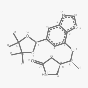 C[C@@H](Oc1cc(B2OC(C)(C)C(C)(C)O2)cc2ncsc12)[C@H]1CNC(=O)C1